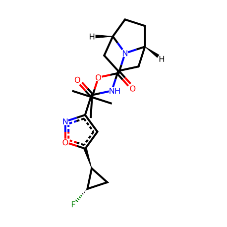 CC(C)(C)OC(=O)N1[C@@H]2CC[C@H]1CC(NC(=O)c1cc([C@H]3C[C@@H]3F)on1)C2